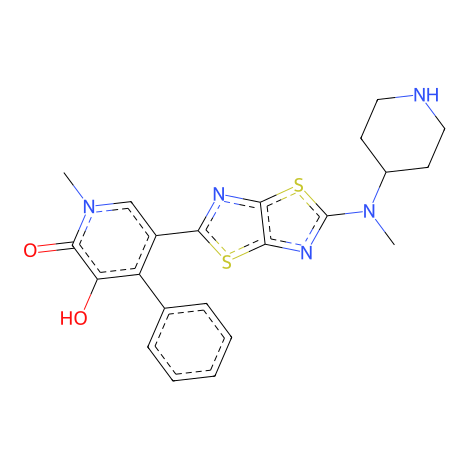 CN(c1nc2sc(-c3cn(C)c(=O)c(O)c3-c3ccccc3)nc2s1)C1CCNCC1